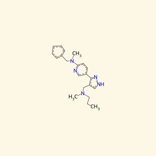 CCCN(C)Cc1c[nH]nc1-c1ccc(N(C)Cc2ccccc2)nc1